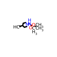 C#CC1CCN(NC(=O)OC(C)(C)C)CC1